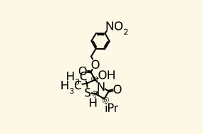 CC(C)[C@H]1C(=O)N2[C@@H]1SC(C)(C)[C@]2(O)C(=O)OCc1ccc([N+](=O)[O-])cc1